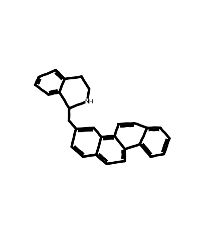 c1ccc2c(c1)CCNC2Cc1ccc2ccc3c4ccccc4ccc3c2c1